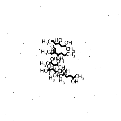 CC(O)CC(C)(C)O.CC(O)CC(C)O.CC(O)CCC(C)O.CCCC(O)C(CC)CO.CCCC(O)CC(C)O